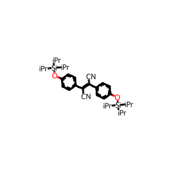 CC(C)[Si](Oc1ccc(/C(C#N)=C(\C#N)c2ccc(O[Si](C(C)C)(C(C)C)C(C)C)cc2)cc1)(C(C)C)C(C)C